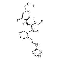 CCc1ccc(Nc2c(C3COCCN3CCNc3nnco3)ccc(F)c2F)c(F)c1